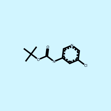 CC(C)(C)OC(=O)[N]c1cncc(Cl)c1